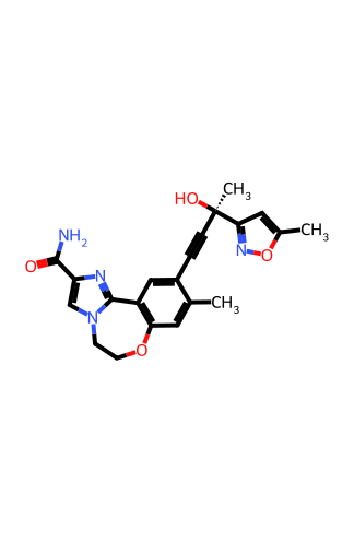 Cc1cc([C@](C)(O)C#Cc2cc3c(cc2C)OCCn2cc(C(N)=O)nc2-3)no1